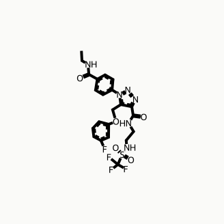 CCNC(=O)c1ccc(-n2nnc(C(=O)NCCNS(=O)(=O)C(F)(F)F)c2COc2cccc(F)c2)cc1